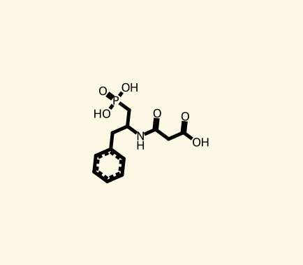 O=C(O)CC(=O)NC(Cc1ccccc1)CP(=O)(O)O